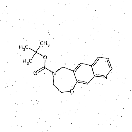 CC(C)(C)OC(=O)N1CCOc2cc3ncccc3cc2C1